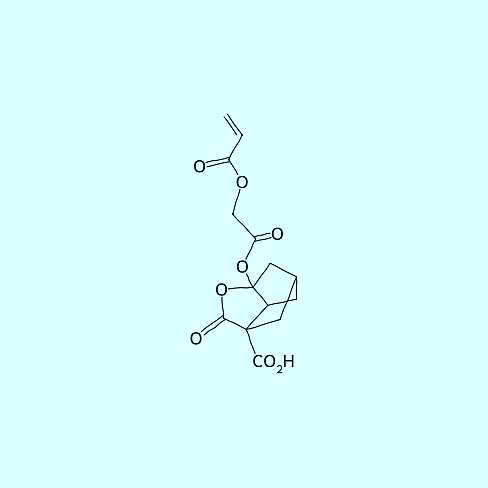 C=CC(=O)OCC(=O)OC12CC3CC1C(C(=O)O)(C3)C(=O)O2